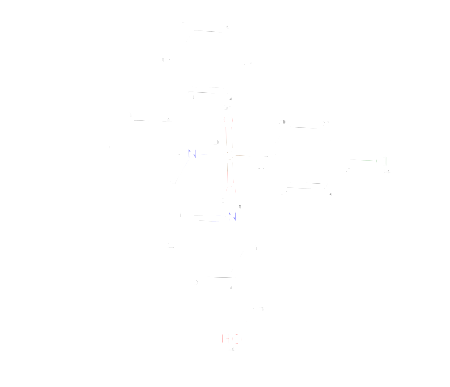 CCC(c1ccccc1)N(Cc1ccc(CO)cn1)S(=O)(=O)c1ccc(Cl)cc1